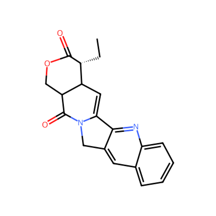 CC[C@H]1C(=O)OCC2C(=O)N3Cc4cc5ccccc5nc4C3=CC21